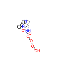 CC[C@@]12C=C(C(=O)NCC(=O)OCCOCCOCCO)n3c4c(c5ccccc53)CCN(CCC1)[C@H]42